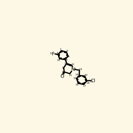 O=C1CC(c2cccc(F)c2)=CN(Cc2cccc(Cl)c2)C1